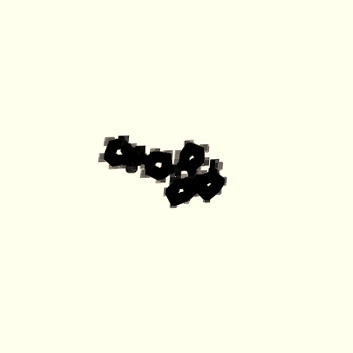 Fc1cccc2c3ccccc3n(-c3ccccc3Nc3ccc(-c4nc5ncccc5o4)cc3)c12